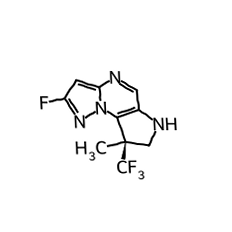 C[C@@]1(C(F)(F)F)CNc2cnc3cc(F)nn3c21